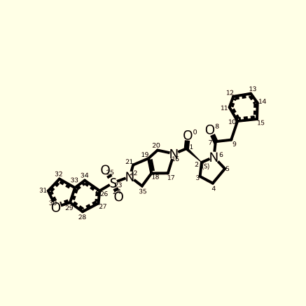 O=C([C@@H]1CCCN1C(=O)Cc1ccccc1)N1CC2=C(C1)CN(S(=O)(=O)c1ccc3occc3c1)C2